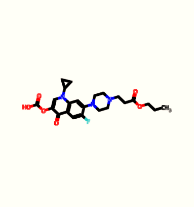 CCCOC(=O)CCN1CCN(c2cc3c(cc2F)c(=O)c(OC(=O)O)cn3C2CC2)CC1